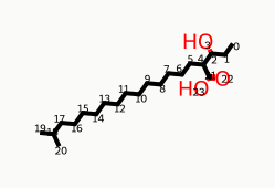 CCC(O)C(CCCCCCCCCCCCCC(C)C)C(=O)O